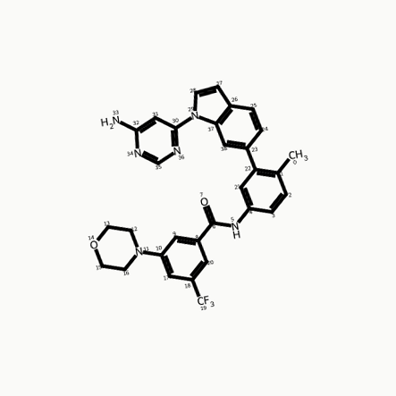 Cc1ccc(NC(=O)c2cc(N3CCOCC3)cc(C(F)(F)F)c2)cc1-c1ccc2ccn(-c3cc(N)ncn3)c2c1